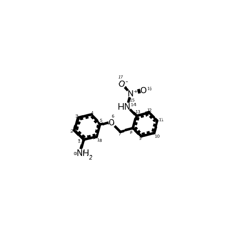 Nc1cccc(OCc2ccccc2N[N+](=O)[O-])c1